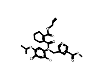 C=CCOC(=O)C1=C(C(=O)N(Cc2cncc(C(=O)OC)c2)c2cc(OC(C)C)c(Cl)cc2Cl)CCCC1